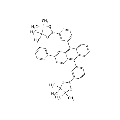 CC1(C)OB(c2cccc(-c3c4ccccc4c(-c4cccc(B5OC(C)(C)C(C)(C)O5)c4)c4cc(-c5ccccc5)ccc34)c2)OC1(C)C